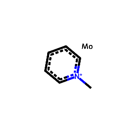 C[n+]1ccccc1.[Mo]